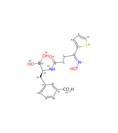 O=C(CCC(=NO)c1cccs1)N[C@@H](Cc1cccc(C(=O)O)c1)B(O)O